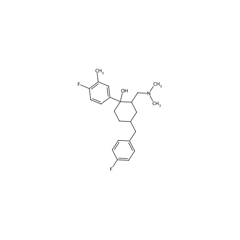 Cc1cc(C2(O)CCC(Cc3ccc(F)cc3)CC2CN(C)C)ccc1F